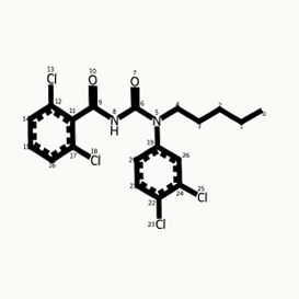 CCCCCN(C(=O)NC(=O)c1c(Cl)cccc1Cl)c1ccc(Cl)c(Cl)c1